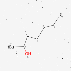 CC(C)CCCCC(O)C(C)(C)C